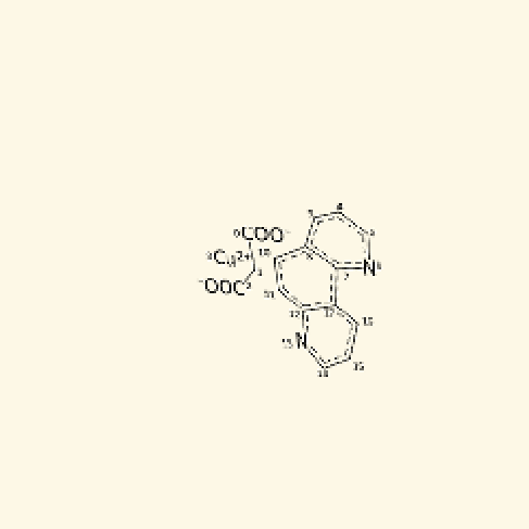 O=C([O-])CC(=O)[O-].[Cu+2].c1cnc2c(c1)ccc1ncccc12